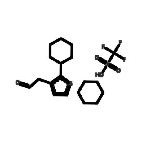 C1CCCCC1.O=CCc1ccsc1C1CCCCC1.O=S(=O)(O)C(F)(F)F